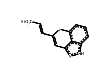 CCOC(=O)C=CC1=Cc2n[nH]c3cccc(c23)S1